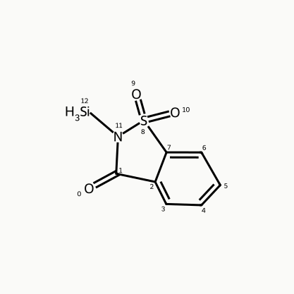 O=C1c2ccccc2S(=O)(=O)N1[SiH3]